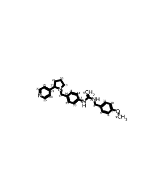 C=C(NCc1ccc(OC)cc1)Nc1ccc(CN2CCCC2c2ccncc2)cc1